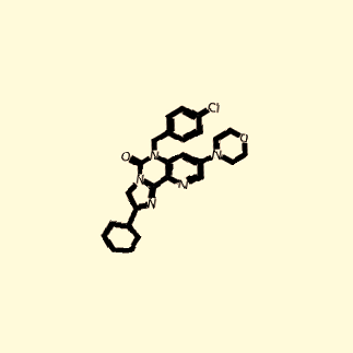 O=C1N2CC(C3CCCCC3)N=C2c2ncc(N3CCOCC3)cc2N1Cc1ccc(Cl)cc1